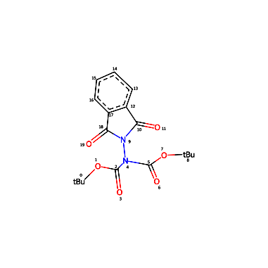 CC(C)(C)OC(=O)N(C(=O)OC(C)(C)C)N1C(=O)c2ccccc2C1=O